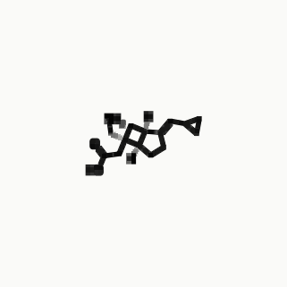 NC[C@]1(CC(=O)O)C[C@H]2C(=CC3CC3)CC[C@H]21